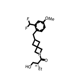 CC[C@H](CO)C(=O)N1CC2(CC(Cc3ccc(OC)cc3C(F)F)C2)C1